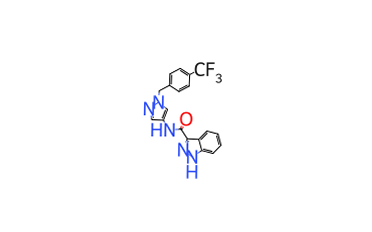 O=C(Nc1cnn(Cc2ccc(C(F)(F)F)cc2)c1)c1n[nH]c2ccccc12